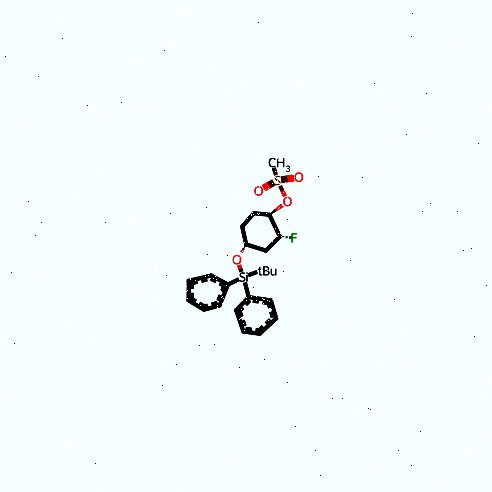 CC(C)(C)[Si](O[C@@H]1CC[C@@H](OS(C)(=O)=O)[C@H](F)C1)(c1ccccc1)c1ccccc1